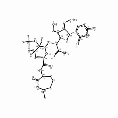 CCCCCCO[C@@H]1[C@H](CO)[C@@H]([C@@H](O[C@H]2OC(C(=O)N[C@H]3CCC[C@@H](C)NC3=O)=C[C@@H]3OC(C)(C)O[C@H]23)C(N)=O)O[C@H]1n1ccc(=O)[nH]c1=O